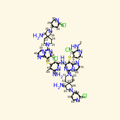 CNc1nccc(Sc2c(Nc3cc(Sc4c(Cl)nc(N5CCC6(CC5)CN(c5ccnc(Cl)c5)C[C@H]6N)n5ccnc45)c(C)c(N)n3)nc(N3CCC4(CC3)CN(c3ccnc(Cl)c3)C[C@H]4N)n3ccnc23)c1Cl